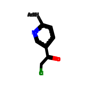 CC(=O)Nc1ccc(C(=O)CCl)cn1